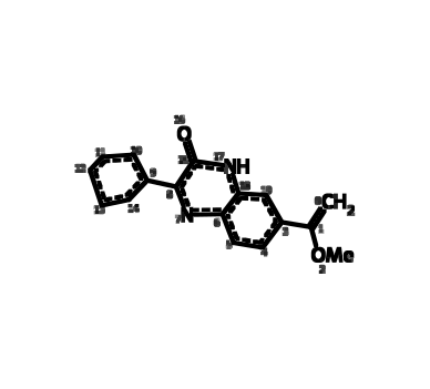 C=C(OC)c1ccc2nc(-c3ccccc3)c(=O)[nH]c2c1